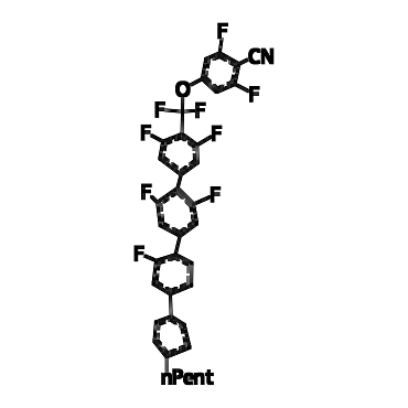 CCCCCc1ccc(-c2ccc(-c3cc(F)c(-c4cc(F)c(C(F)(F)Oc5cc(F)c(C#N)c(F)c5)c(F)c4)c(F)c3)c(F)c2)cc1